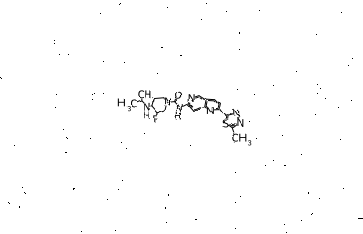 Cc1nnc(-c2ccc3cnc(NC(=O)N4CC[C@@H](NC(C)C)[C@H](F)C4)cc3n2)s1